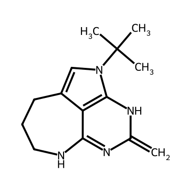 C=C1N=C2NCCCc3cn(C(C)(C)C)c(c32)N1